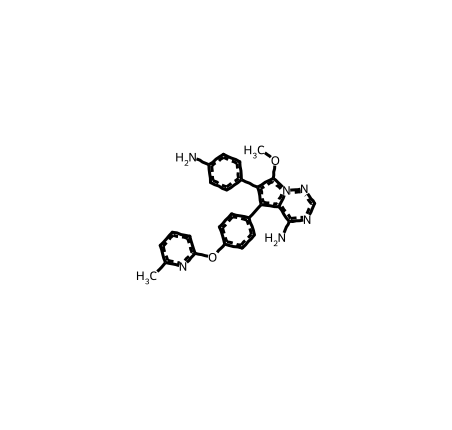 COc1c(-c2ccc(N)cc2)c(-c2ccc(Oc3cccc(C)n3)cc2)c2c(N)ncnn12